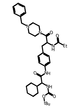 CCC(=O)NC(Cc1ccc(NC(=O)C(NC(=O)OC(C)(C)C)C2CCCCC2)cc1)C(=O)N1CCN(Cc2ccccc2)CC1